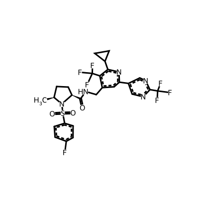 C[C@H]1CC[C@@H](C(=O)NCc2cc(-c3cnc(C(F)(F)F)nc3)nc(C3CC3)c2C(F)(F)F)N1S(=O)(=O)c1ccc(F)cc1